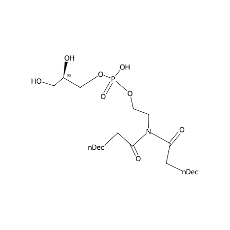 CCCCCCCCCCCC(=O)N(CCOP(=O)(O)OC[C@H](O)CO)C(=O)CCCCCCCCCCC